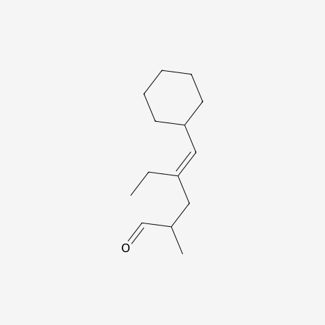 CC/C(=C\C1CCCCC1)CC(C)C=O